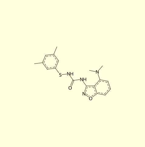 Cc1cc(C)cc(SNC(=O)Nc2noc3cccc(N(C)C)c23)c1